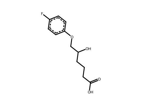 O=C(O)CCCC(O)COc1ccc(F)cc1